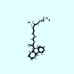 COCCC(C)CCCCCCC(=O)C1c2ccccc2-c2ccccc21